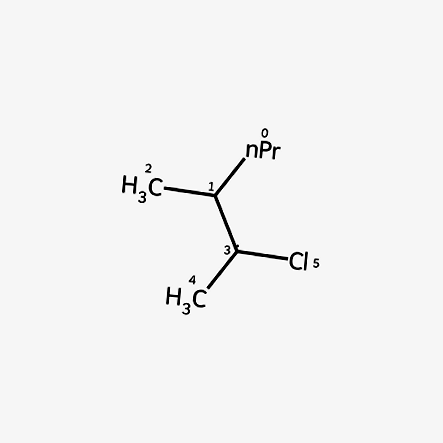 CCCC(C)[C](C)Cl